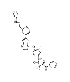 COCNCCc1cccc(-c2cc3nccc(Oc4ccc(NC(=O)C5(C(=O)Nc6ccccc6)CC5)cc4F)c3s2)c1